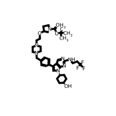 CC(C)(C)OC(=O)N1CCC(OCCN2CCN(Cc3ccc(-c4cn([C@H]5CC[C@H](O)CC5)c5nc(NCCC(F)(F)F)ncc45)cc3)CC2)C1